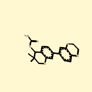 CC1(C)COc2cc(-c3ccc4c(c3)OCCO4)ccc2C1OC(N)=O